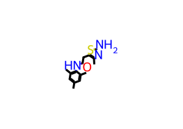 Cc1cc(C)c(NC(=O)Cc2sc(N)nc2C)c(C)c1